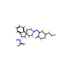 CCCC1CCC(C)C(CN2CCC3(CC2)C[C@H](NC(C)=O)c2ccccc23)C1